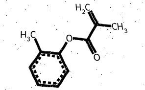 C=C(C)C(=O)Oc1ccccc1C